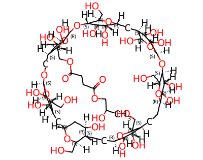 CC(O)COC(=O)CCC(=O)OC[C@H]1O[C@@H]2O[C@H]3[C@H](O)[C@@H](O)[C@@H](C[C@H]4[C@H](O)[C@@H](O)[C@@H](O[C@H]5[C@H](O)[C@@H](O)[C@@H](CC[C@H]6[C@H](O)[C@@H](O)[C@@H](C[C@H]7[C@H](O)C[C@@H](C[C@H]8[C@H](O)[C@@H](O)[C@@H](OC[C@H]1[C@H](O)[C@H]2O)O[C@@H]8CO)O[C@@H]7CO)O[C@@H]6CO)O[C@@H]5CO)O[C@@H]4O)O[C@@H]3CO